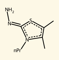 CCCn1c(C)c(C)sc1=NN